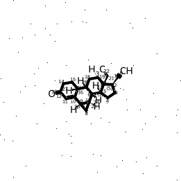 C#C[C@H]1CC[C@H]2[C@@H]3[C@H]4C[C@H]4C4=CC(=O)CC[C@@H]4[C@H]3CC[C@]12CC